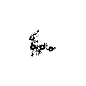 CCCOc1ccc(CN[C@@H]2CCN(CC(=O)OCC)C2)cc1-c1nc2cc3ncn(Cc4ccc(F)cc4)c3cc2c(=O)[nH]1